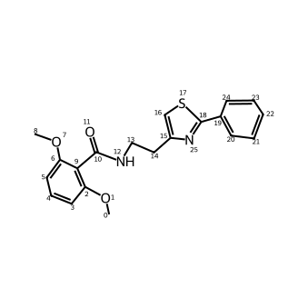 COc1cccc(OC)c1C(=O)NCCc1csc(-c2ccccc2)n1